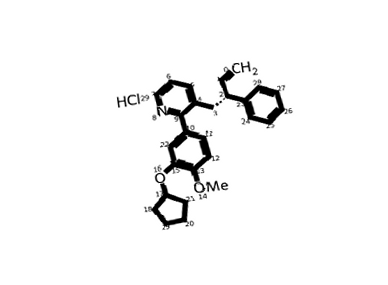 C=C[C@@H](Cc1cccnc1-c1ccc(OC)c(OC2CCCC2)c1)c1ccccc1.Cl